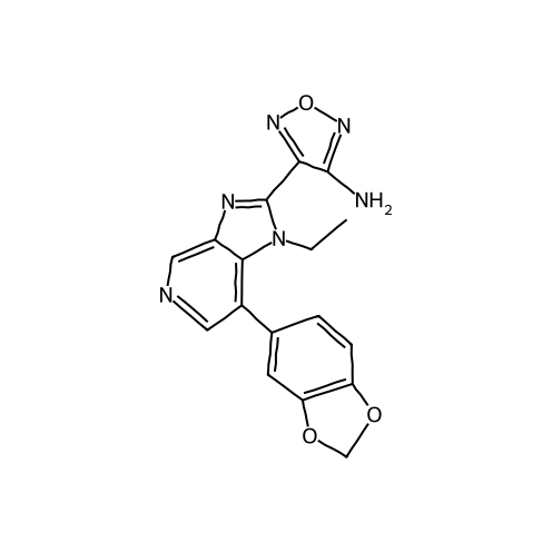 CCn1c(-c2nonc2N)nc2cncc(-c3ccc4c(c3)OCO4)c21